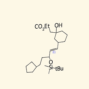 CCOC(=O)CC1(O)CCCC(/C=C/C(CCC2CCCC2)O[Si](C)(C)C(C)(C)C)C1